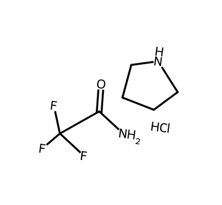 C1CCNC1.Cl.NC(=O)C(F)(F)F